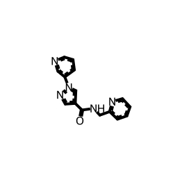 O=C(NCc1ccccn1)c1cnn(-c2cccnc2)c1